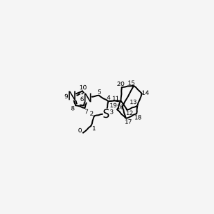 CCCSC(Cn1ccnc1)C12CC3CC(CC(C3)C1)C2